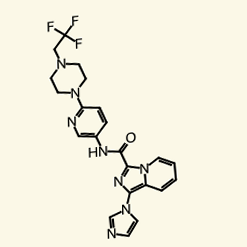 O=C(Nc1ccc(N2CCN(CC(F)(F)F)CC2)nc1)c1nc(-n2ccnc2)c2ccccn12